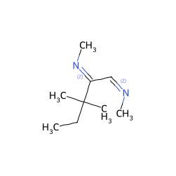 CCC(C)(C)C(/C=N\C)=N/C